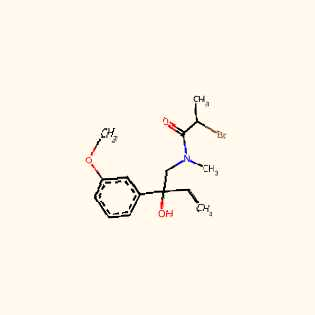 CCC(O)(CN(C)C(=O)C(C)Br)c1cccc(OC)c1